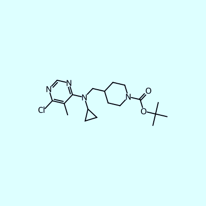 Cc1c(Cl)ncnc1N(CC1CCN(C(=O)OC(C)(C)C)CC1)C1CC1